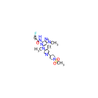 CCc1cc(C2=CCN(S(C)(=O)=O)CC2)ncc1N(C)c1cc2c(ncn2C)c(NC(=O)[C@H]2C[C@H]2F)n1